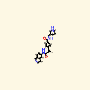 O=C(NCC1CCCNC1)c1ccc(C2CC2C(=O)Nc2ccc3cnccc3c2)cc1